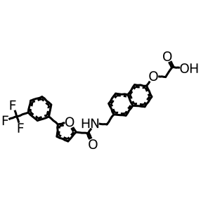 O=C(O)COc1ccc2cc(CNC(=O)c3ccc(-c4cccc(C(F)(F)F)c4)o3)ccc2c1